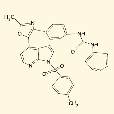 Cc1ccc(S(=O)(=O)n2ccc3c(-c4oc(C)nc4-c4ccc(NC(=O)Nc5ccccc5)cc4)ccnc32)cc1